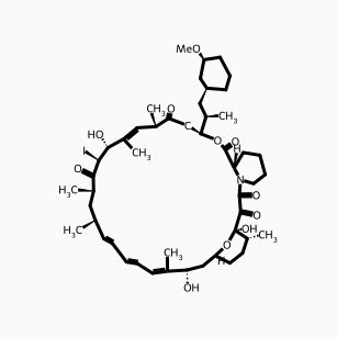 CO[C@H]1CCC[C@@H](C[C@@H](C)[C@@H]2CC(=O)[C@H](C)/C=C(\C)[C@@H](O)[C@H](I)C(=O)[C@H](C)C[C@H](C)/C=C/C=C/C=C(\C)[C@@H](O)C[C@@H]3CC[C@@H](C)[C@@](O)(O3)C(=O)C(=O)N3CCCC[C@H]3C(=O)O2)C1